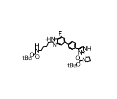 C[C@@H](CCCNC(=O)OC(C)(C)C)c1nc2cc(-c3ccc(-c4c[nH]c([C@@H]5CCCN5C(=O)OC(C)(C)C)n4)cc3)cc(F)c2[nH]1